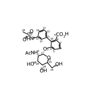 CC(=O)N[C@@H]1[C@H](Oc2cccc(C(=O)O)c2-c2cccc(NS(C)(=O)=O)c2)OC(CO)[C@H](O)[C@@H]1O